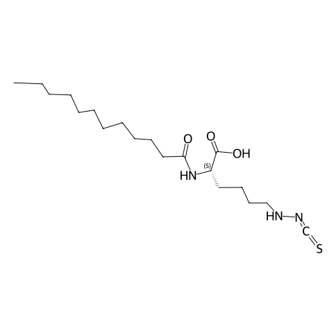 CCCCCCCCCCCC(=O)N[C@@H](CCCCNN=C=S)C(=O)O